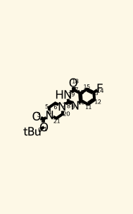 CC(C)(C)OC(=O)N1CCN(c2nc3ccc(F)cc3c(=O)[nH]2)CC1